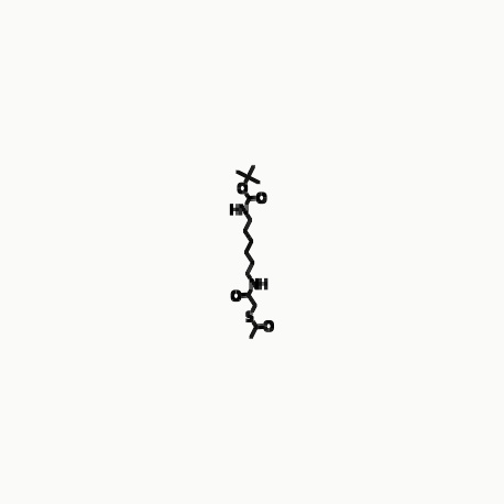 CC(=O)SCC(=O)NCCCCCCNC(=O)OC(C)(C)C